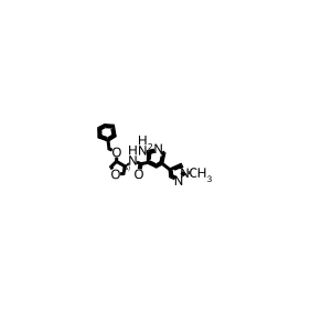 Cn1cc(-c2cnc(N)c(C(=O)N[C@H]3COCC3OCc3ccccc3)c2)cn1